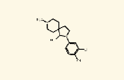 CC1N(c2ccc(C#N)c(Cl)c2)CCC12CCN(C)CC2